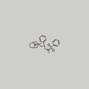 CC1CC2CCC(C1)N2CC[C@](C)(CN(C)S(=O)(=O)c1ccccc1)c1ccccc1